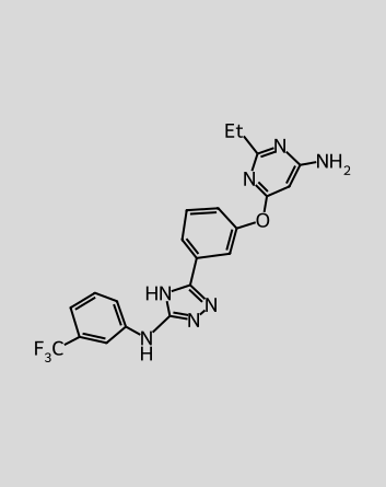 CCc1nc(N)cc(Oc2cccc(-c3nnc(Nc4cccc(C(F)(F)F)c4)[nH]3)c2)n1